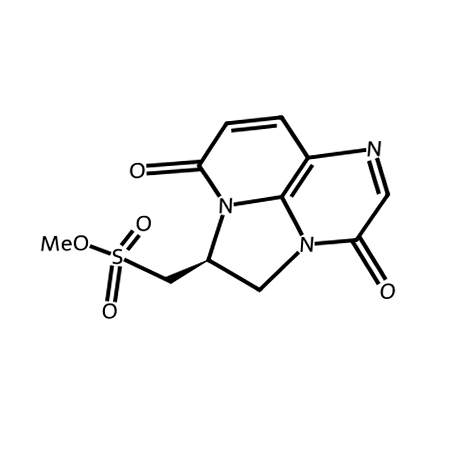 COS(=O)(=O)C[C@@H]1Cn2c(=O)cnc3ccc(=O)n1c32